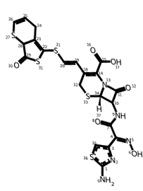 Nc1nc(C(=NO)C(=O)NC2C(=O)N3C(C(=O)O)=C(C=CSC4=C5CC=CSC5C(=O)S4)CS[C@@H]23)cs1